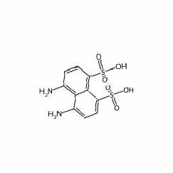 Nc1ccc(S(=O)(=O)O)c2c(S(=O)(=O)O)ccc(N)c12